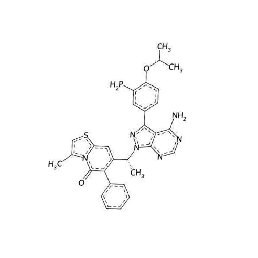 Cc1csc2cc([C@@H](C)n3nc(-c4ccc(OC(C)C)c(P)c4)c4c(N)ncnc43)c(-c3ccccc3)c(=O)n12